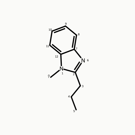 [CH2]n1c(CCC)nc2ccccc21